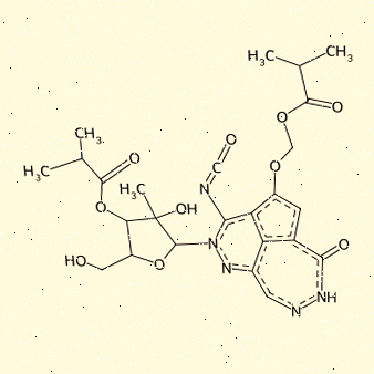 CC(C)C(=O)OCOc1cc2c(=O)[nH]ncc3nn(C4OC(CO)C(OC(=O)C(C)C)C4(C)O)c(N=C=O)c1c32